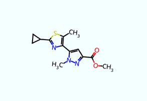 COC(=O)c1cc(-c2nc(C3CC3)sc2C)n(C)n1